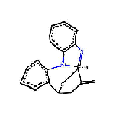 C=C1CC2CCN3c4ccccc4N(c4ccccc42)[C@]13C